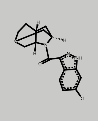 O=C(c1n[nH]c2cc(Cl)ccc12)N1[C@@H]2C[C@H]3CCN(C2)C[C@H]31